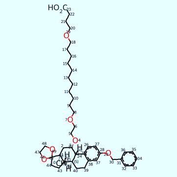 C[C@]12C[C@H](OCCOCCCCCCCCCCCOCCCC(=O)O)[C@@H]3c4ccc(OCc5ccccc5)cc4CC[C@H]3[C@@H]1CCC21OCCO1